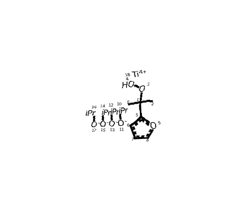 CC(C)(OO)c1ccco1.CC(C)[O-].CC(C)[O-].CC(C)[O-].CC(C)[O-].[Ti+4]